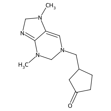 CN1CN=C2C1=CN(CC1CCC(=O)C1)CN2C